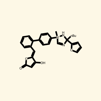 CCCCC1(c2ccco2)N=C[N+](C)(c2ccc(-c3ccccc3/C=C3\OC(=O)C=C3O)cc2)N1